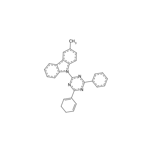 Cc1ccc2c(c1)c1ccccc1n2-c1nc(C2=CCCC=C2)nc(-c2ccccc2)n1